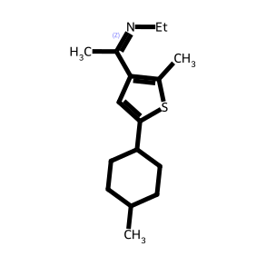 CC/N=C(/C)c1cc(C2CCC(C)CC2)sc1C